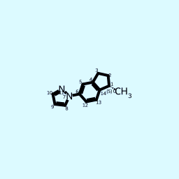 C[C@H]1CCc2cc(-n3cccn3)ccc21